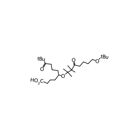 CC(C)(C)OCCCCC(=O)C(C)(C)C(C)(C)OC(CCCC(=O)O)CCCC(=O)C(C)(C)C